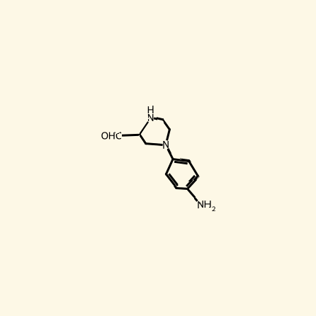 Nc1ccc(N2CCNC(C=O)C2)cc1